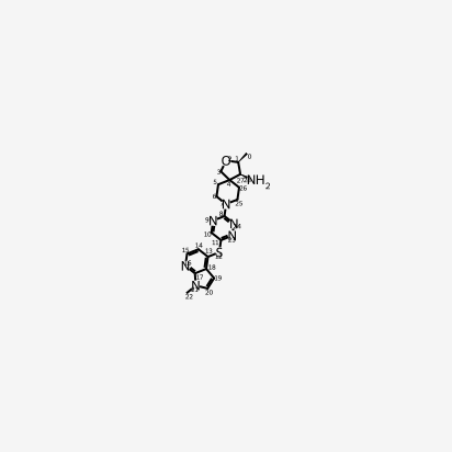 C[C@@H]1OCC2(CCN(c3ncc(Sc4ccnc5c4ccn5C)nn3)CC2)[C@@H]1N